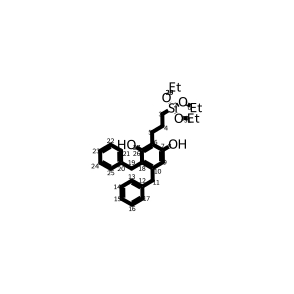 CCO[Si](CCCc1c(O)cc(Cc2ccccc2)c(Cc2ccccc2)c1O)(OCC)OCC